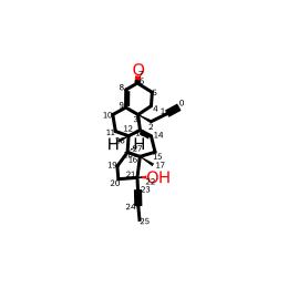 C#CC[C@]12CCC(=O)C=C1CC[C@@H]1C2=CC[C@@]2(C)[C@H]1CC[C@@]2(O)C#CC